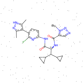 CCC(C)n1nncc1C(=O)N[C@H](C(=O)Nc1ccc(-c2c(C)n[nH]c2C)c(F)n1)C(C1CC1)C1CC1